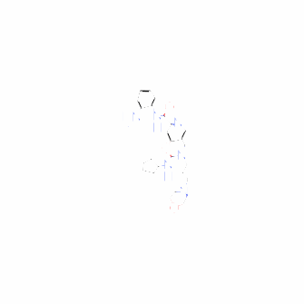 Nc1ccccc1NC(=O)c1ccc(CN(CCCN2CCOCC2)C(=O)NC2CCCC2)cn1